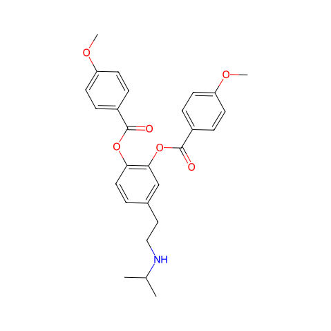 COc1ccc(C(=O)Oc2ccc(CCNC(C)C)cc2OC(=O)c2ccc(OC)cc2)cc1